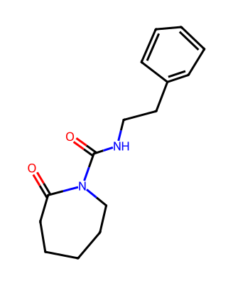 O=C1CCCCCN1C(=O)NCCc1ccccc1